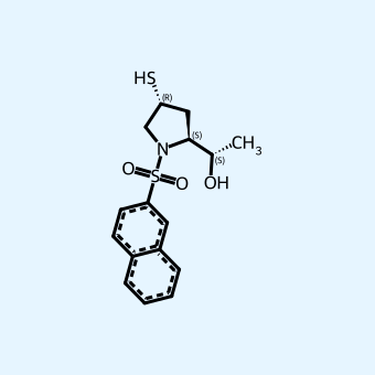 C[C@H](O)[C@@H]1C[C@@H](S)CN1S(=O)(=O)c1ccc2ccccc2c1